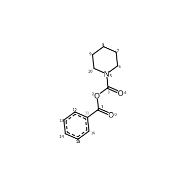 O=C(OC(=O)N1CCCCC1)c1ccccc1